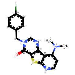 CN(C)c1ccnc2sc3c(=O)n(Cc4ccc(Cl)cc4)cnc3c12